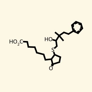 CC(C)(CCc1ccccc1)C(O)CSC1CCC(=O)C1CCCCCCC(=O)O